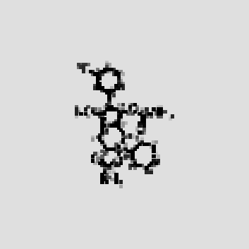 N#Cc1c(-c2cccc(F)c2)c(OC(N)=O)c2n1CC[N+](OC(N)=O)(C1CCOCC1)C2